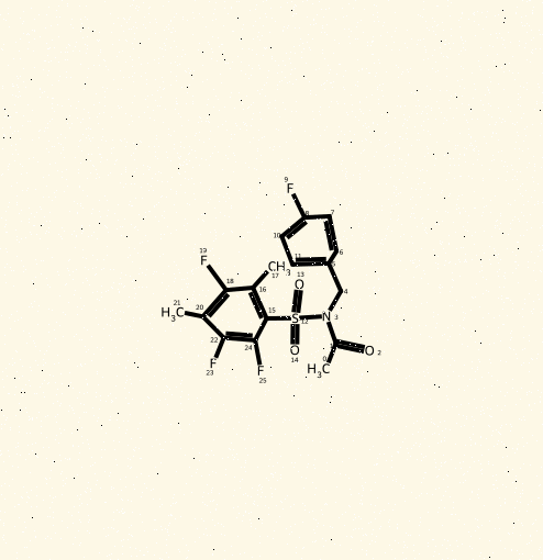 CC(=O)N(Cc1ccc(F)cc1)S(=O)(=O)c1c(C)c(F)c(C)c(F)c1F